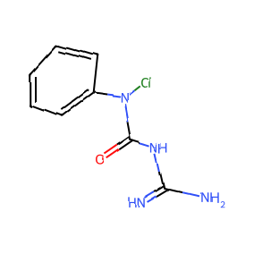 N=C(N)NC(=O)N(Cl)c1ccccc1